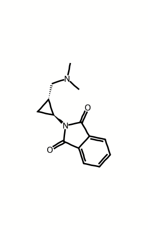 CN(C)C[C@H]1C[C@@H]1N1C(=O)c2ccccc2C1=O